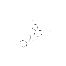 COc1ccc(C(=O)Nc2c(Cl)c[n+](O)cc2Cl)c2cc(C3CC3)nn12